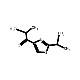 CC(C)C(=O)c1csc(C(C)C)n1